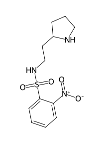 O=[N+]([O-])c1ccccc1S(=O)(=O)NCCC1CCCN1